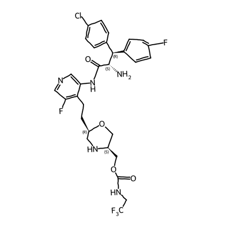 N[C@H](C(=O)Nc1cncc(F)c1CC[C@@H]1CN[C@H](COC(=O)NCC(F)(F)F)CO1)[C@H](c1ccc(F)cc1)c1ccc(Cl)cc1